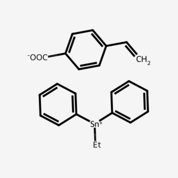 C=Cc1ccc(C(=O)[O-])cc1.C[CH2][Sn+]([c]1ccccc1)[c]1ccccc1